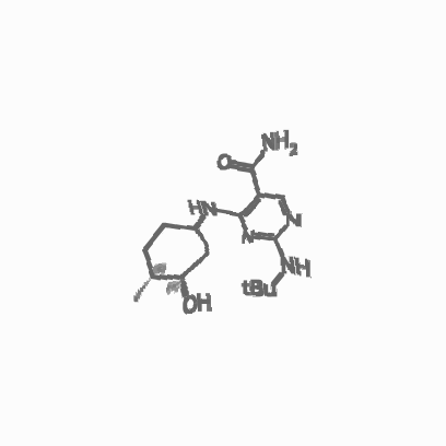 C[C@@H]1CCC(Nc2nc(NC(C)(C)C)ncc2C(N)=O)C[C@H]1O